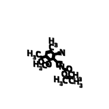 COc1c(C(C)=O)cc(C)c(C#N)c1C1CN(C(=O)OC(C)(C)C)C1